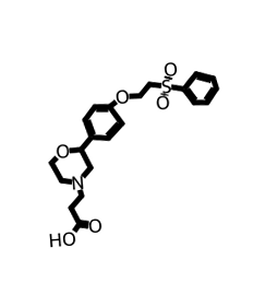 O=C(O)CCN1CCOC(c2ccc(OCCS(=O)(=O)c3ccccc3)cc2)C1